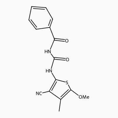 COc1sc(NC(=O)NC(=O)c2ccccc2)c(C#N)c1C